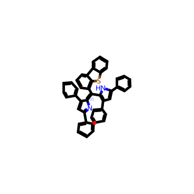 C1=C(c2ccccc2)/C(=C(/c2[nH]c(-c3ccccc3)cc2-c2ccccc2)c2cccc3c2sc2ccccc23)N=C1c1ccccc1